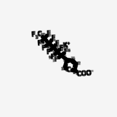 O=C([O-])c1ccc(C(F)(F)C(F)(F)C(F)(F)C(F)(F)C(F)(F)C(F)(F)F)cc1.[K+]